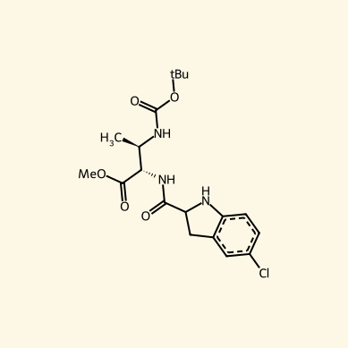 COC(=O)[C@@H](NC(=O)C1Cc2cc(Cl)ccc2N1)[C@@H](C)NC(=O)OC(C)(C)C